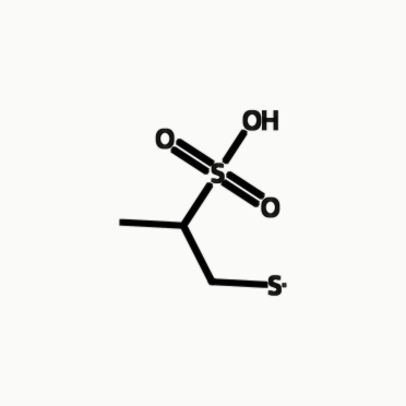 CC(C[S])S(=O)(=O)O